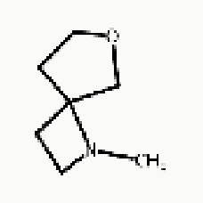 CN1CCC12CCOC2